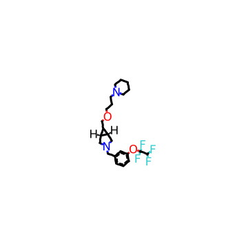 FC(F)C(F)(F)Oc1cccc(CN2C[C@@H]3C(COCCCN4CCCCC4)[C@@H]3C2)c1